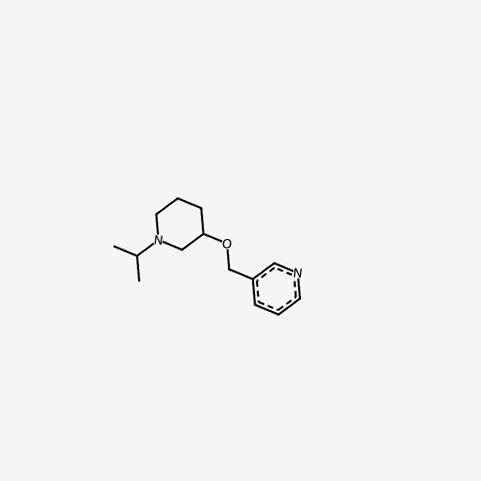 CC(C)N1CCCC(OCc2cccnc2)C1